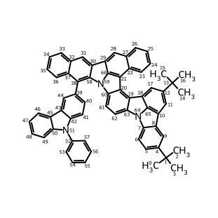 CC(C)(C)c1ccc2c(c1)c1cc(C(C)(C)C)cc3c4c5c6c7ccccc7cc7c8cc9ccccc9c(-c9ccc%10c(c9)c9ccccc9n%10-c9ccccc9)c8n(c5ccc4n2c13)c76